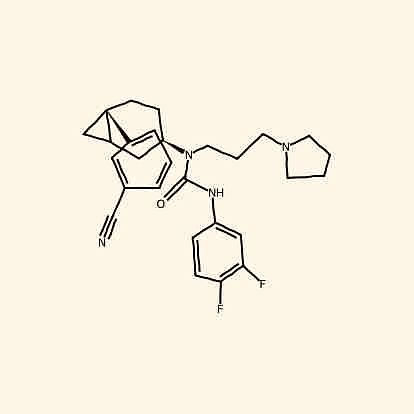 N#Cc1cccc([C@@]23CC[C@@H](N(CCCN4CCCC4)C(=O)Nc4ccc(F)c(F)c4)CC2C3)c1